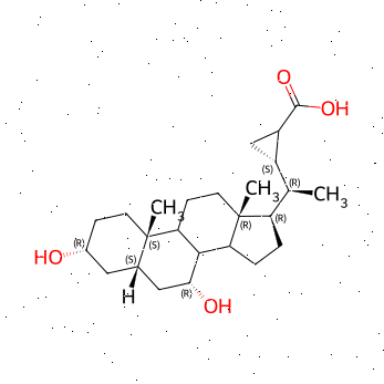 C[C@H]([C@@H]1CC1C(=O)O)[C@H]1CCC2C3C(CC[C@@]21C)[C@@]1(C)CC[C@@H](O)C[C@H]1C[C@H]3O